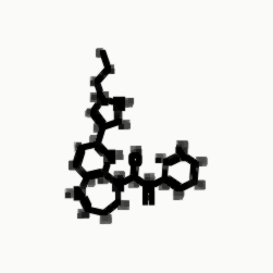 CCCn1cc(-c2ccc3c(n2)N(C(=O)Nc2cccnc2)CCC=N3)cn1